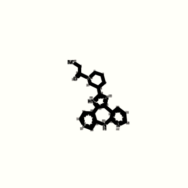 N#CCC(=O)N1CCCC(c2nc3c([nH]2)-c2ccncc2Nc2ncccc2-3)C1